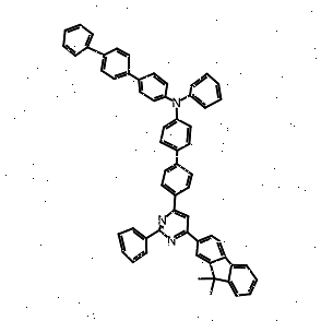 CC1(C)c2ccccc2-c2ccc(-c3cc(-c4ccc(-c5ccc(N(c6ccccc6)c6ccc(-c7ccc(-c8ccccc8)cc7)cc6)cc5)cc4)nc(-c4ccccc4)n3)cc21